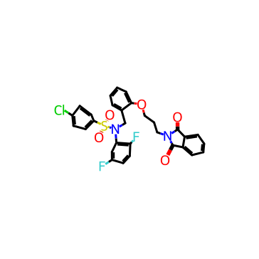 O=C1c2ccccc2C(=O)N1CCCOc1ccccc1CN(c1cc(F)ccc1F)S(=O)(=O)c1ccc(Cl)cc1